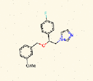 COc1cccc(COC(Cn2ccnc2)c2ccc(F)cc2)c1